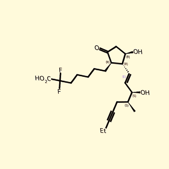 CCC#CC[C@H](C)[C@H](O)/C=C/[C@H]1[C@H](O)CC(=O)[C@@H]1CCCCCC(F)(F)C(=O)O